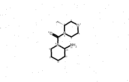 C[C@@H]1COCCN1C(=O)N1CCCCC1N